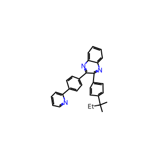 CCC(C)(C)c1ccc(-c2nc3ccccc3nc2-c2ccc(-c3ccccn3)cc2)cc1